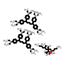 CCCCC(CC)CC(CC(CC)CCCC)(C(=O)[O-])C(C(=O)[O-])S(=O)(=O)O.CCN(CC)c1ccc(C(=CC=CC(=C2C=CC(=[N+](CC)CC)C=C2)c2ccc(N(CC)CC)cc2)c2ccc(N(CC)CC)cc2)cc1.CCN(CC)c1ccc(C(=CC=CC(=C2C=CC(=[N+](CC)CC)C=C2)c2ccc(N(CC)CC)cc2)c2ccc(N(CC)CC)cc2)cc1